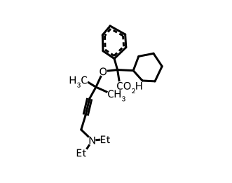 CCN(CC)CC#CC(C)(C)OC(C(=O)O)(c1ccccc1)C1CCCCC1